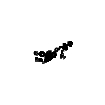 CCOC(=O)CN(Cc1ccc(OCCc2nc(-c3cccs3)oc2C)cc1)S(=O)(=O)N(C)c1ccc(Cl)cc1